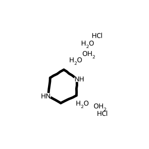 C1CNCCN1.Cl.Cl.O.O.O.O.O